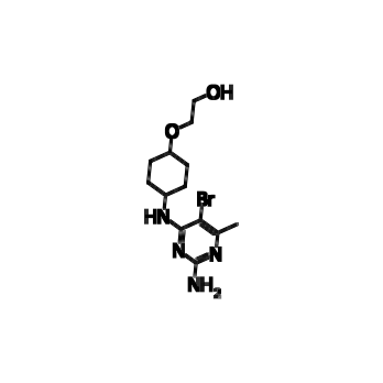 Cc1nc(N)nc(NC2CCC(OCCO)CC2)c1Br